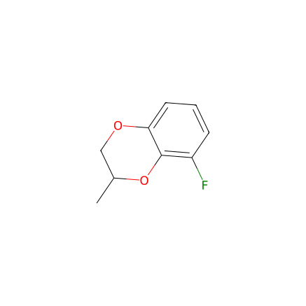 CC1COc2cccc(F)c2O1